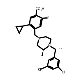 C[C@H](c1cc(Cl)cc(Cl)c1)N1CCN(Cc2cc(F)c(C(=O)O)cc2C2CC2)C[C@@H]1C